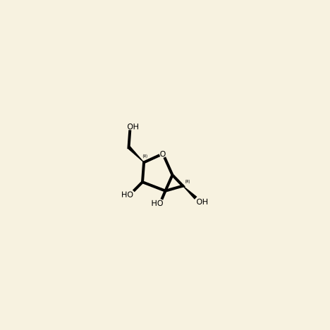 OC[C@H]1OC2[C@@H](O)C2(O)C1O